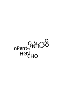 CCCCC[C@H](CN(O)C=O)C(=O)NN(C)c1ccc2c(c1)OCO2